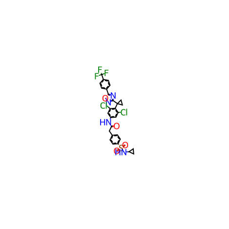 O=C(Cc1ccc(S(=O)(=O)NC2CC2)cc1)Nc1cc(Cl)c(C2(c3noc(-c4ccc(C(F)(F)F)cc4)n3)CC2)c(Cl)c1